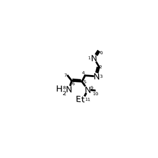 C=N/C=N\C/C(=C(\C)N)N(C)CC